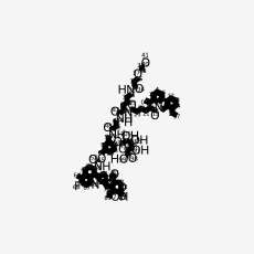 C=Cc1ccccc1N(Cc1ccccc1CC)C(=O)CCCCC(=O)NC(CCCCNC(=O)CCOCCOC)C(=O)NCCC(=O)NCc1cc(COC(=O)NC2CCc3c(C)c(F)cc4nc5c(c2c34)Cn2c-5cc3c(c2=O)COC(=O)C3(O)CC)ccc1OC1OC(C(=O)O)C(O)C(O)C1O